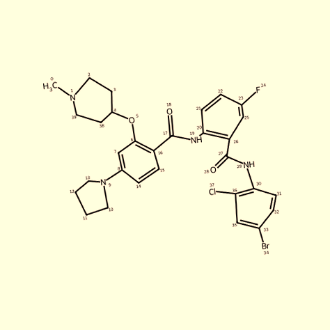 CN1CCC(Oc2cc(N3CCCC3)ccc2C(=O)Nc2ccc(F)cc2C(=O)Nc2ccc(Br)cc2Cl)CC1